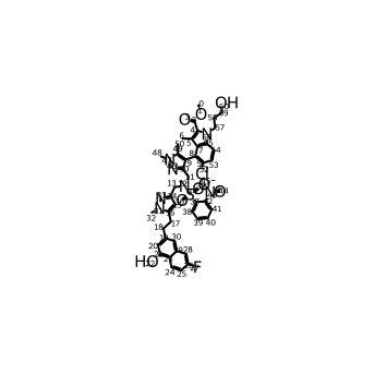 COC(=O)c1c(C)c2c(-c3c(CN(Cc4cc(CCc5cc(O)c6ccc(F)cc6c5)n(C)n4)S(=O)(=O)c4ccccc4[N+](=O)[O-])nn(C)c3C)c(Cl)ccc2n1CCCO